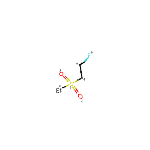 [CH2]CS(=O)(=O)CCF